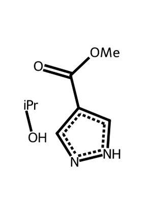 CC(C)O.COC(=O)c1cn[nH]c1